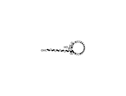 O=[C]CCOCCOCCOCCOCCNC(=O)C1C[C@@H](C(=O)O)NC(=O)CCCCCCCCCCCCCCCCC1=O